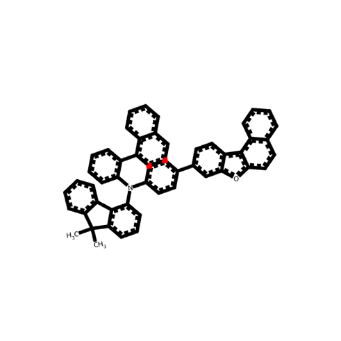 CC1(C)c2ccccc2-c2c(N(c3ccc(-c4ccc5c(c4)oc4ccc6ccccc6c45)cc3)c3ccccc3-c3cccc4ccccc34)cccc21